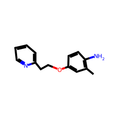 Cc1cc(OCCc2ccccn2)ccc1N